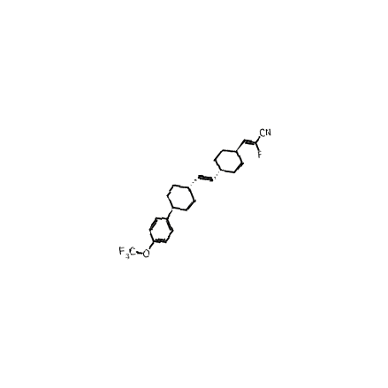 N#CC(F)=C[C@H]1CC[C@H](C=C[C@H]2CC[C@H](c3ccc(OC(F)(F)F)cc3)CC2)CC1